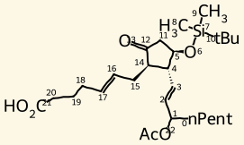 CCCCCC(C=C[C@H]1[C@H](O[Si](C)(C)C(C)(C)C)CC(=O)[C@@H]1CC=CCCCC(=O)O)OC(C)=O